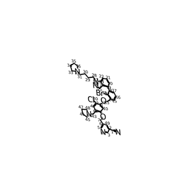 N#Cc1cncc(COc2cc(OCc3cccc(-c4cccc5c4cnn5CCCCN4CCCC4)c3Br)c(Cl)cc2CN2CCCC2)c1